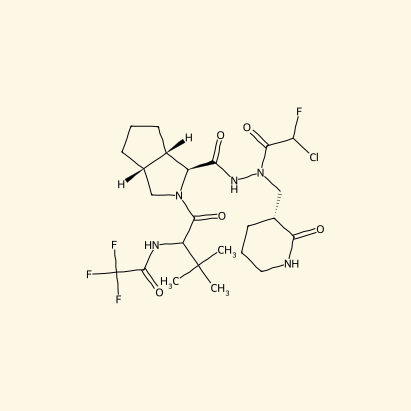 CC(C)(C)C(NC(=O)C(F)(F)F)C(=O)N1C[C@@H]2CCC[C@@H]2[C@H]1C(=O)NN(C[C@H]1CCCNC1=O)C(=O)C(F)Cl